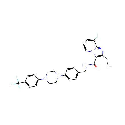 CCc1nc2c(F)cccn2c1C(=O)NCc1ccc(N2CCN(c3ccc(C(F)(F)F)cc3)CC2)cc1